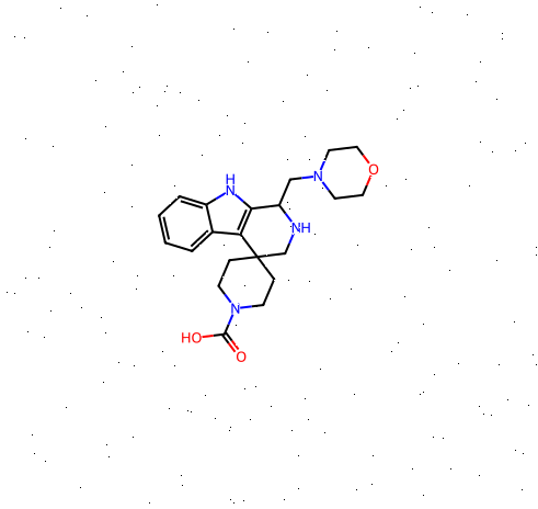 O=C(O)N1CCC2(CC1)CNC(CN1CCOCC1)c1[nH]c3ccccc3c12